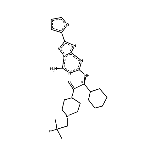 CC(C)(F)CN1CCN(C(=O)[C@@H](Nc2nc(N)n3nc(-c4ccco4)nc3n2)C2CCCCC2)CC1